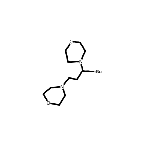 CC(C)(C)[C](CCN1CCOCC1)N1CCOCC1